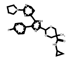 CC1(C(=O)NC2CC2)COC(c2nc(-c3ccc(F)cc3)c(-c3ccnc(N4CCCC4)n3)[nH]2)OC1